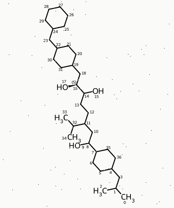 CC(C)CC1CCC(C(O)CC(CCC(O)[C@@H](O)CC2CCC(CC3CCCCC3)CC2)C(C)C)CC1